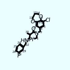 CC(C)CN(Cc1cc(Cl)c2c(c1)OCCCO2)C(=O)C(C)CNCc1cccc(F)c1